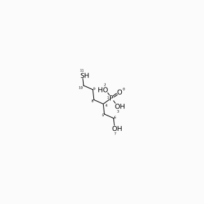 O=P(O)(O)C(CCO)CCCS